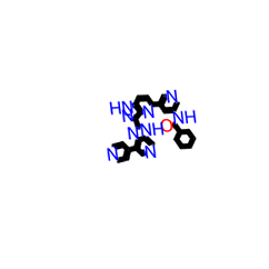 O=C(Nc1cncc(-c2ccc3[nH]nc(-c4nc5c(-c6ccncc6)cncc5[nH]4)c3n2)c1)C1CCCCC1